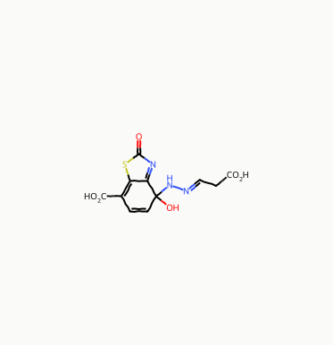 O=C(O)CC=NNC1(O)C=CC(C(=O)O)=C2SC(=O)N=C21